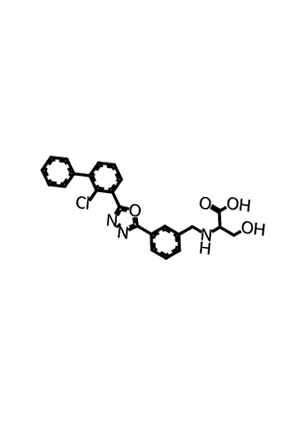 O=C(O)C(CO)NCc1cccc(-c2nnc(-c3cccc(-c4ccccc4)c3Cl)o2)c1